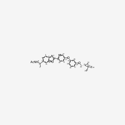 CC(=O)NC(C)c1ccc2nc(-c3ccc(Oc4cccc(OC[C@@H]5CC5(F)F)c4)cn3)oc2c1